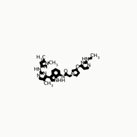 CCNc1nccc(OC2CCN(CC(=O)Nc3cccc4c(-c5nc(Nc6cc(C)n(C)n6)ncc5C)c[nH]c34)C2)n1